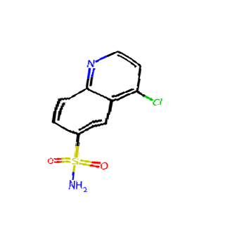 NS(=O)(=O)c1ccc2nccc(Cl)c2c1